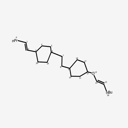 CCCC=CC1CCC(CCC2CCC(OC=CCCCC)CC2)CC1